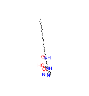 CCC=CCC=CCC=CCC=CCC=CCC=CCCC(=O)NCCCC[C@H](NC(=O)c1cccnc1C#N)C(=O)O